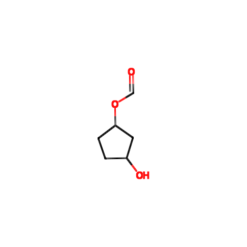 O=COC1CCC(O)C1